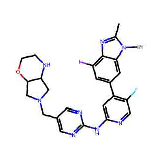 Cc1nc2c(I)cc(-c3cc(Nc4ncc(CN5CC6NCCOC6C5)cn4)ncc3F)cc2n1C(C)C